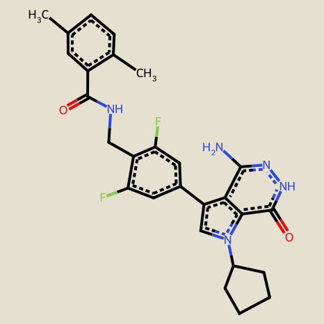 Cc1ccc(C)c(C(=O)NCc2c(F)cc(-c3cn(C4CCCC4)c4c(=O)[nH]nc(N)c34)cc2F)c1